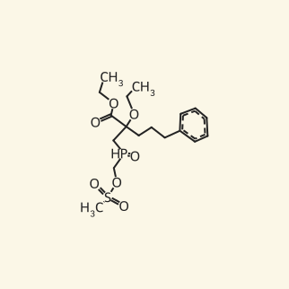 CCOC(=O)C(CCCc1ccccc1)(C[PH](=O)COS(C)(=O)=O)OCC